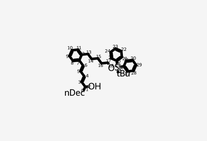 CCCCCCCCCCC(O)/C=C/C=C/c1ccccc1CCCCCO[Si](c1ccccc1)(c1ccccc1)C(C)(C)C